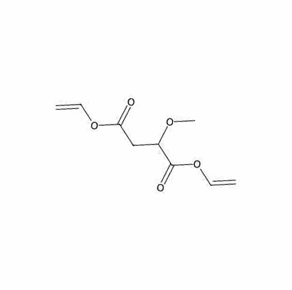 C=COC(=O)CC(OC)C(=O)OC=C